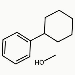 CO.c1ccc(C2CCCCC2)cc1